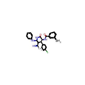 Bc1cccc(C(=O)NC2C(=O)NC(Nc3ccccc3)=C(C(C)=N)C2c2ccc(F)cc2)c1